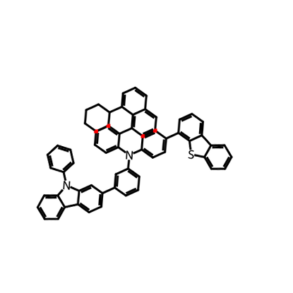 c1ccc(-n2c3ccccc3c3ccc(-c4cccc(N(c5ccc(-c6cccc7c6sc6ccccc67)cc5)c5ccccc5-c5cccc6cccc(C7CCCCC7)c56)c4)cc32)cc1